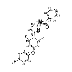 CC1=CC(OC2=CCC(F)C=C2)=CC(C)C1c1csc(NC(=O)c2ccncc2)n1